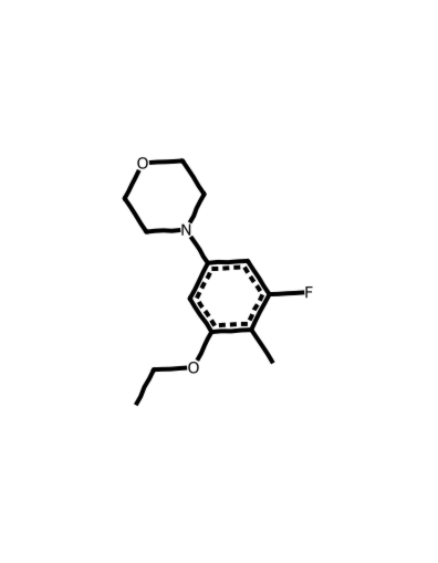 CCOc1cc(N2CCOCC2)cc(F)c1C